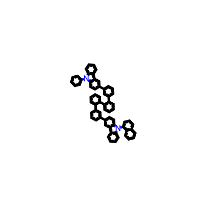 c1ccc(-n2c3ccccc3c3cc(-c4cccc(-c5ccccc5-c5ccccc5-c5cccc(-c6ccc7c(c6)c6ccccc6n7-c6cccc7ccccc67)c5)c4)ccc32)cc1